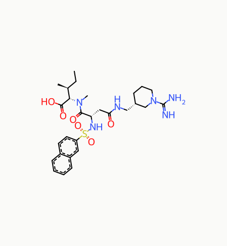 CC[C@H](C)[C@@H](C(=O)O)N(C)C(=O)[C@H](CC(=O)NC[C@@H]1CCCN(C(=N)N)C1)NS(=O)(=O)c1ccc2ccccc2c1